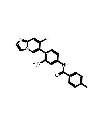 Cc1ccc(C(=O)Nc2ccc(-c3cn4ccnc4cc3C)c(N)c2)cc1